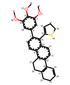 COc1cc(-c2ccc3c4c(ccc3c2C2=CCCS2)C2=C(CCC=C2)CC4)cc(OC)c1OC